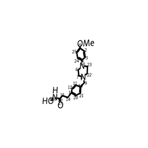 COc1ccc(N2CCN(Cc3ccc(CCC(=O)NO)cc3)CC2)cc1